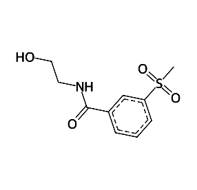 CS(=O)(=O)c1cccc(C(=O)NCCO)c1